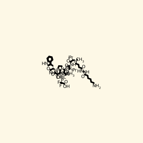 CC[C@H](C)[C@]([C@@H](CC=O)OC)(N(C)[C@H](C(=O)NC(=O)[C@H](C(C)C)N(C)CCCC(=O)NNC(=O)CCCCCN)C(C)C)N1CCC[C@H]1[C@H](OC)[C@@H](C)C(=O)N[C@@H](Cc1c[nH]c2ccccc12)C(N)=O.O=C(O)C(F)(F)F